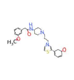 COc1cccc(CC(=O)NC2CCN(CCCN3C=CSC(C4=CC=CC(=O)C4)=C3)CC2)c1